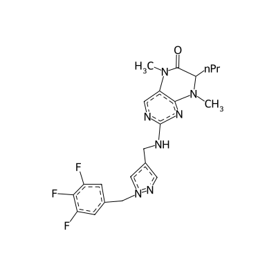 CCCC1C(=O)N(C)c2cnc(NCc3cnn(Cc4cc(F)c(F)c(F)c4)c3)nc2N1C